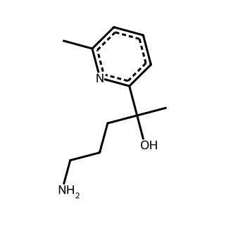 Cc1cccc(C(C)(O)CCCN)n1